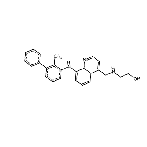 Cc1c(NC2=CC=CC3C(CNCCO)=CC=NC23)cccc1-c1ccccc1